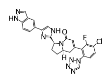 O=C1C=C(c2c(-n3cnnn3)ccc(Cl)c2F)C[C@H]2CC[C@@H](c3nc(-c4ccc5[nH]ncc5c4)c[nH]3)N12